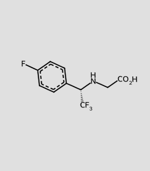 O=C(O)CN[C@@H](c1ccc(F)cc1)C(F)(F)F